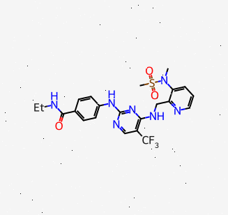 CCNC(=O)c1ccc(Nc2ncc(C(F)(F)F)c(NCc3ncccc3N(C)S(C)(=O)=O)n2)cc1